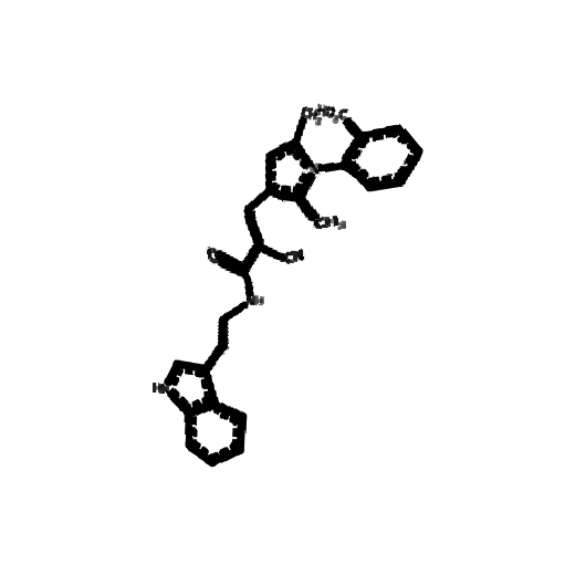 Cc1cc(/C=C(\C#N)C(=O)NCCc2c[nH]c3ccccc23)c(C)n1-c1ccccc1C(=O)O